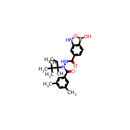 CCC(C)(N(NC(=O)c1ccc2c(c1)NOB2O)C(=O)c1cc(C)cc(C)c1)C(C)(C)C